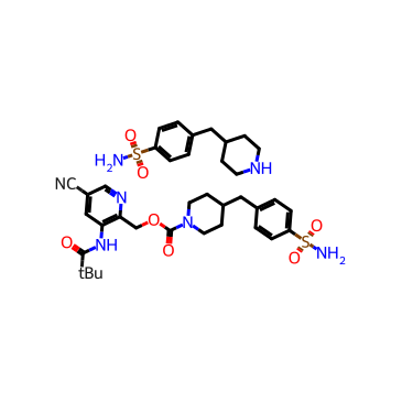 CC(C)(C)C(=O)Nc1cc(C#N)cnc1COC(=O)N1CCC(Cc2ccc(S(N)(=O)=O)cc2)CC1.NS(=O)(=O)c1ccc(CC2CCNCC2)cc1